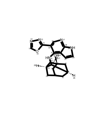 O[C@]12CC3C[C@H](C1)[C@H](Nc1c(-c4nnco4)cnc4[nH]ccc14)[C@@H](C3)C2